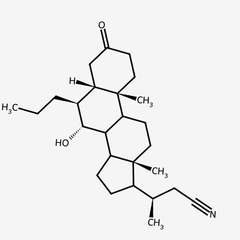 CCC[C@@H]1[C@@H](O)C2C3CCC([C@H](C)CC#N)[C@@]3(C)CCC2[C@@]2(C)CCC(=O)C[C@@H]12